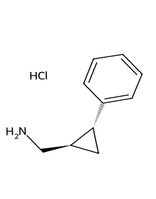 Cl.NC[C@@H]1C[C@H]1c1ccccc1